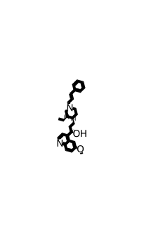 CC[C@H]1CN(CC=Cc2ccccc2)CC[C@H]1CC[C@@H](O)c1ccnc2ccc(OC)cc12